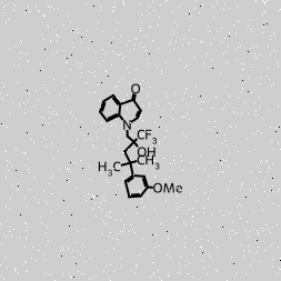 COc1cccc(C(C)(C)CC(O)(Cn2ccc(=O)c3ccccc32)C(F)(F)F)c1